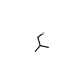 C[C](C)C[S]